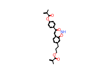 C=C(C)C(=O)OCCCc1ccc2cc(-c3ccc(OC(=O)C(=C)C)cc3)o[nH]oc2c1